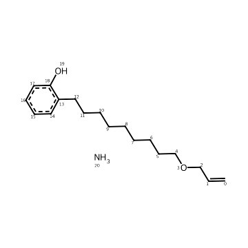 C=CCOCCCCCCCCCc1ccccc1O.N